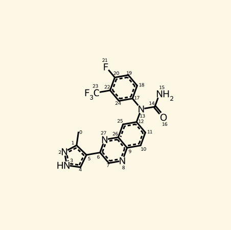 Cc1n[nH]cc1-c1cnc2ccc(N(C(N)=O)c3ccc(F)c(C(F)(F)F)c3)cc2n1